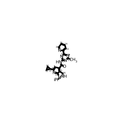 Cc1nc(NC(=O)c2cc(C3CC3)nc3c2CNN3C(C)C)nc(-c2ccccn2)n1